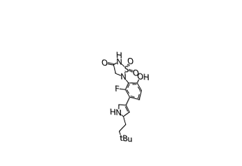 CC(C)(C)CCC1C=C(c2ccc(O)c(N3CC(=O)NS3(=O)=O)c2F)CN1